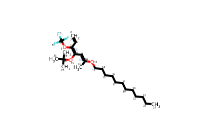 C=C/C(OC(F)(F)F)=C(\C=C(/C)OCCCCCCCCCCCC)OC(C)(C)C